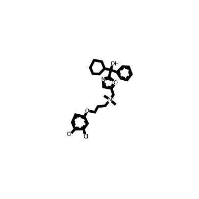 C[N+](C)(CCCOc1ccc(Cl)c(Cl)c1)Cc1cnc(C(O)(c2ccccc2)C2CCCCC2)o1